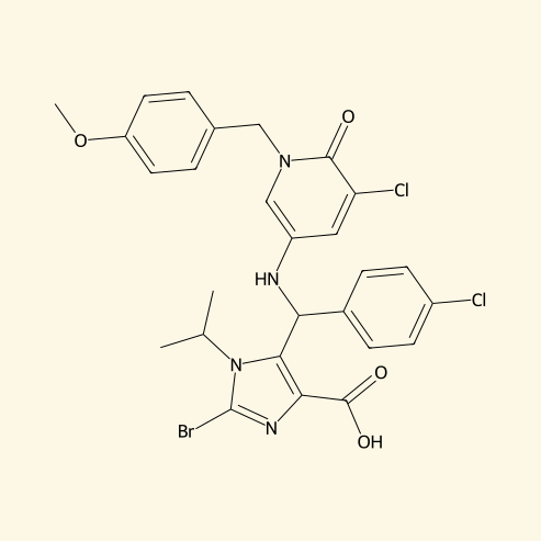 COc1ccc(Cn2cc(NC(c3ccc(Cl)cc3)c3c(C(=O)O)nc(Br)n3C(C)C)cc(Cl)c2=O)cc1